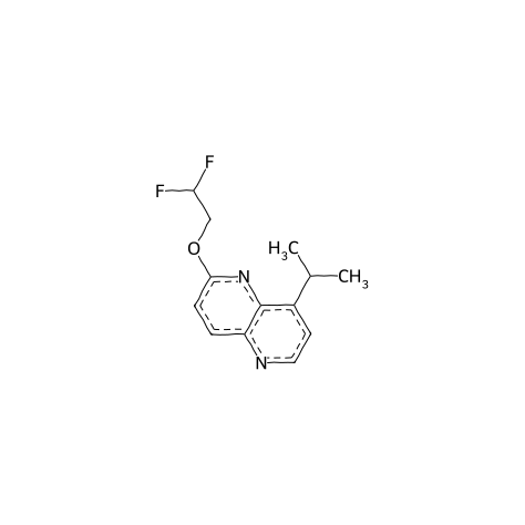 CC(C)c1ccnc2ccc(OCC(F)F)nc12